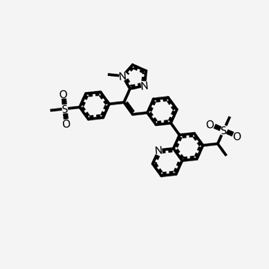 CC(c1cc(-c2cccc(C=C(c3ccc(S(C)(=O)=O)cc3)c3nccn3C)c2)c2ncccc2c1)S(C)(=O)=O